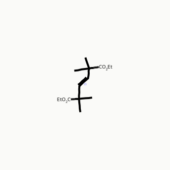 CCOC(=O)C(C)(C)/C=C/C(C)(C)C(=O)OCC